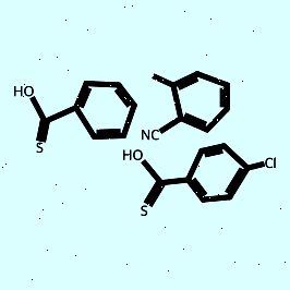 Cc1ccccc1C#N.OC(=S)c1ccc(Cl)cc1.OC(=S)c1ccccc1